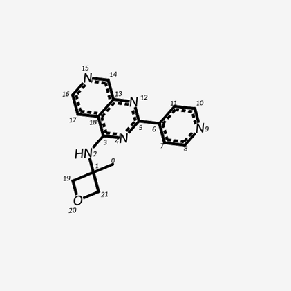 CC1(Nc2nc(-c3ccncc3)nc3cnccc23)COC1